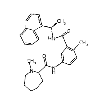 Cc1ccc(NC(=O)C2CCCCCN2C)cc1C(=O)N[C@H](C)c1cccc2ccccc12